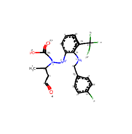 CC(CC=O)N(Nc1cccc(C(F)(F)F)c1NCc1ccc(F)cc1)C(=O)O